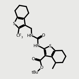 CC1CCCc2sc(NC(=O)NCc3c(C(F)(F)F)sc4c3CCCC4)c(C(=O)OC(C)(C)C)c21